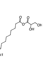 CCCCCCCC/C=C/CCCCCCCC(=O)OC(=O)C(O)CO